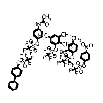 CC(=O)Nc1ccc(OS(=O)(=O)C(F)(F)F)cc1.Cc1cc(C)c(C)c(OS(=O)(=O)C(F)(F)F)c1.Cc1ccc(OS(=O)(=O)C(F)(F)F)c(Br)c1.O=S(=O)(Oc1ccc(-c2ccccc2)cc1)C(F)(F)F.O=[N+]([O-])c1ccc(OS(=O)(=O)C(F)(F)F)cc1